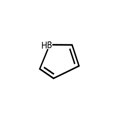 B1C=CC=C1